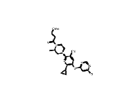 COCCC(=O)N1CCN(c2nc(C3CC3)c(Oc3cc(Cl)ncn3)cc2C#N)CC1C